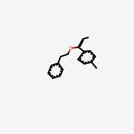 CC=C(OCCc1ccccc1)c1ccc(C)cc1